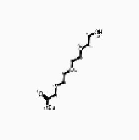 CC(C)(C)C(=O)CSCCOCCOCCO